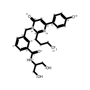 O=C(NC(CO)CO)c1cccc(Cn2c(CCCC(F)(F)F)nc(-c3ccc(Cl)cc3)cc2=O)c1